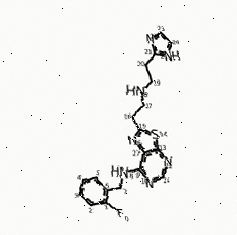 Fc1ccccc1CNc1ncnc2sc(CCNCCc3ncc[nH]3)nc12